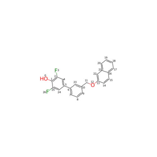 Oc1c(F)cc(-c2cccc(COc3ccc4ccccc4c3)c2)cc1F